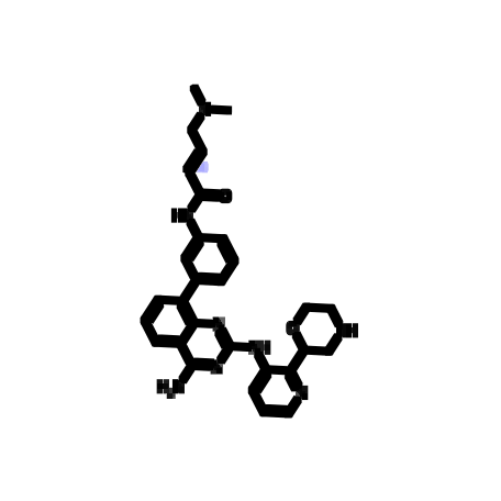 CN(C)C/C=C/C(=O)Nc1cccc(-c2cccc3c(N)nc(Nc4cccnc4C4CNCCO4)nc23)c1